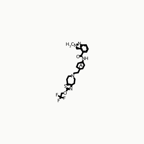 Cn1cc2c(C(=O)NC34CCC(CCN5CCc6nc(OCC(F)(F)F)sc6CC5)(CC3)CC4)cccc2n1